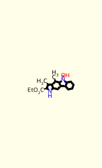 CCOC(=O)c1[nH]c2cc3c4ccccc4n(O)c3c(C)c2c1C